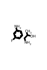 CC(O)CN.Nc1cccc(F)c1